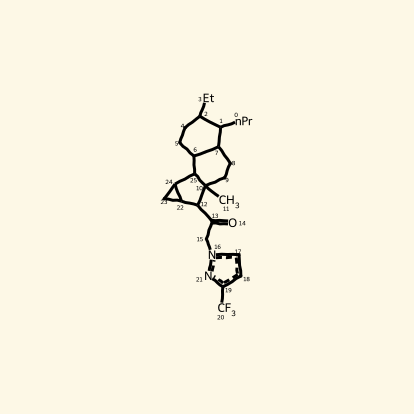 CCCC1C(CC)CCC2C1CCC1(C)C(C(=O)Cn3ccc(C(F)(F)F)n3)C3CC3C21